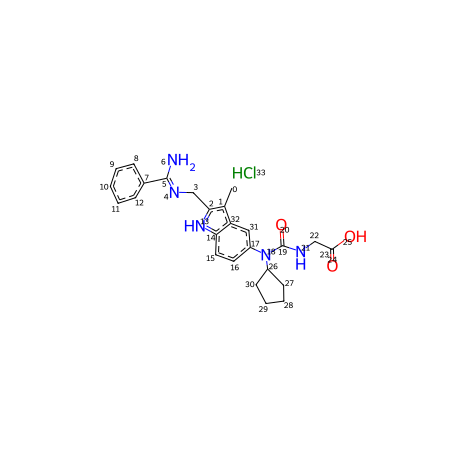 Cc1c(CN=C(N)c2ccccc2)[nH]c2ccc(N(C(=O)NCC(=O)O)C3CCCC3)cc12.Cl